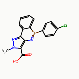 Cn1nc2c(c1C(=O)O)N=S(c1ccc(Cl)cc1)c1ccccc1-2